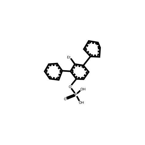 CCc1c(-c2ccccc2)ccc(OP(=O)(O)O)c1-c1ccccc1